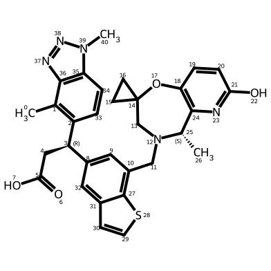 Cc1c([C@H](CC(=O)O)c2cc(CN3CC4(CC4)Oc4ccc(O)nc4[C@@H]3C)c3sccc3c2)ccc2c1nnn2C